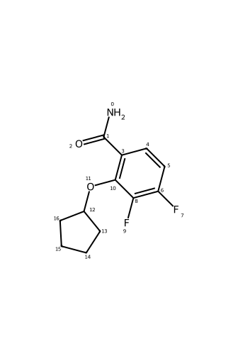 NC(=O)c1ccc(F)c(F)c1OC1CCCC1